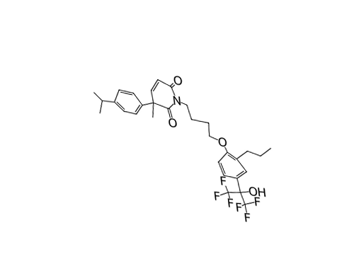 CCCc1cc(C(O)(C(F)(F)F)C(F)(F)F)ccc1OCCCCN1C(=O)C=CC(C)(c2ccc(C(C)C)cc2)C1=O